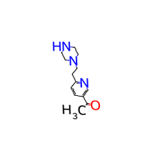 CC(=O)c1ccc(CCN2CCNCC2)nc1